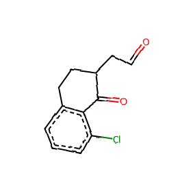 O=CCC1CCc2cccc(Cl)c2C1=O